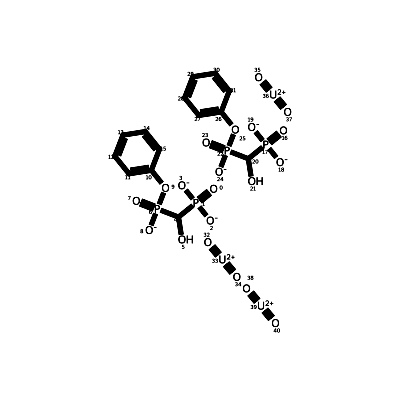 O=P([O-])([O-])C(O)P(=O)([O-])Oc1ccccc1.O=P([O-])([O-])C(O)P(=O)([O-])Oc1ccccc1.[O]=[U+2]=[O].[O]=[U+2]=[O].[O]=[U+2]=[O]